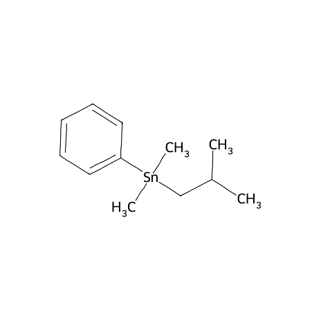 CC(C)[CH2][Sn]([CH3])([CH3])[c]1ccccc1